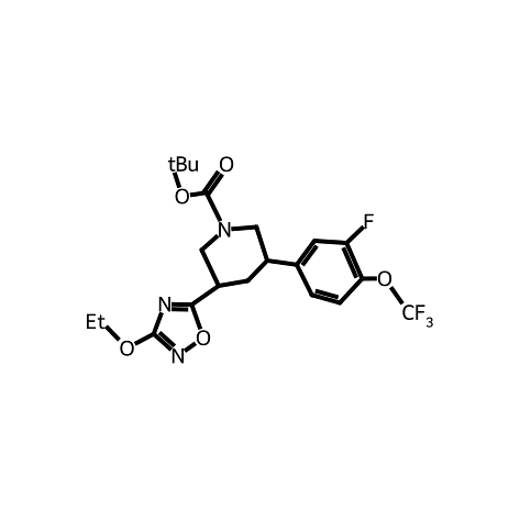 CCOc1noc(C2CC(c3ccc(OC(F)(F)F)c(F)c3)CN(C(=O)OC(C)(C)C)C2)n1